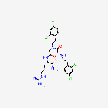 N=C(N)NCCC[C@H](NC(=O)CN(CCc1ccc(Cl)cc1Cl)C(=O)CNCCc1ccc(Cl)cc1Cl)C(N)=O